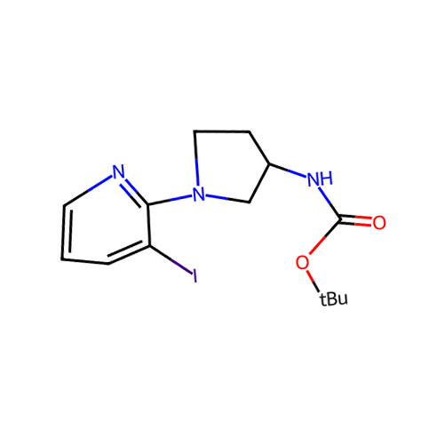 CC(C)(C)OC(=O)NC1CCN(c2ncccc2I)C1